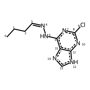 CCC/C=N\Nc1nc(Cl)nc2[nH]cnc12